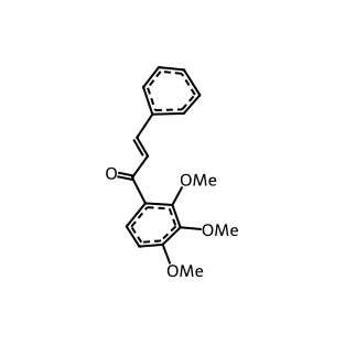 COc1ccc(C(=O)C=Cc2ccccc2)c(OC)c1OC